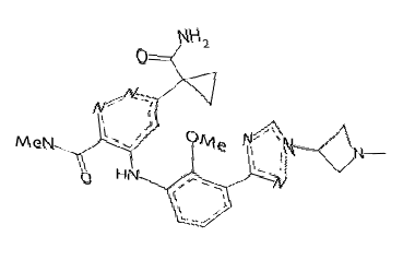 CNC(=O)c1nnc(C2(C(N)=O)CC2)cc1Nc1cccc(-c2ncn(C3CN(C)C3)n2)c1OC